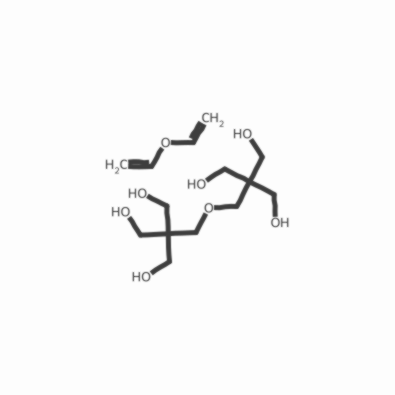 C=COC=C.OCC(CO)(CO)COCC(CO)(CO)CO